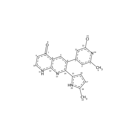 Cc1cc(-c2cc3c(=O)cc[nH]c3nc2-c2ccc(C)[nH]2)cc(Cl)n1